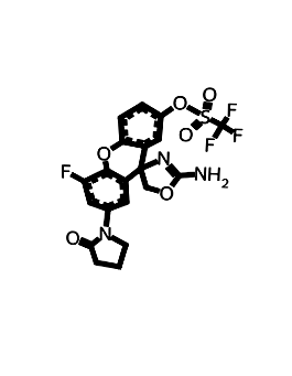 NC1=NC2(CO1)c1cc(OS(=O)(=O)C(F)(F)F)ccc1Oc1c(F)cc(N3CCCC3=O)cc12